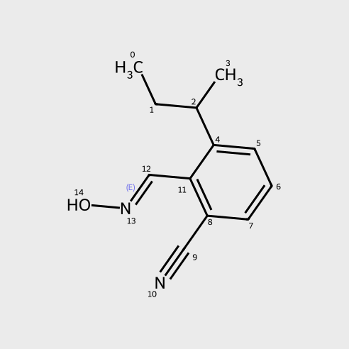 CCC(C)c1cccc(C#N)c1/C=N/O